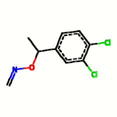 C=NOC(C)c1ccc(Cl)c(Cl)c1